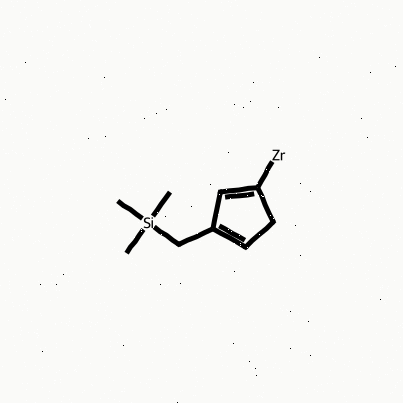 C[Si](C)(C)CC1=CC[C]([Zr])=C1